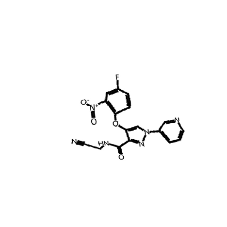 N#CCNC(=O)c1nn(-c2cccnc2)cc1Oc1ccc(F)cc1[N+](=O)[O-]